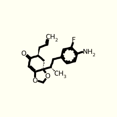 C=CC[C@H]1C[C@]2([C@@H](C)Cc3ccc(N)c(F)c3)OCOC2=CC1=O